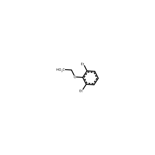 CCc1cccc(CC)c1OCC(=O)O